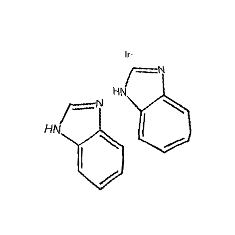 [Ir].c1ccc2[nH]cnc2c1.c1ccc2[nH]cnc2c1